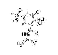 CS(=O)(=O)c1cc(Cl)c(Cl)c(C(=O)NC(=N)N)c1.Cl